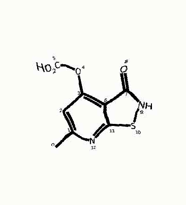 Cc1cc(OC(=O)O)c2c(=O)[nH]sc2n1